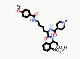 CCOc1ccc(C(=O)NCCCCC(NC(=O)C2CCN(C)CC2)C(=O)NC(CC(=O)O)c2ccccc2[N+](=O)[O-])cc1